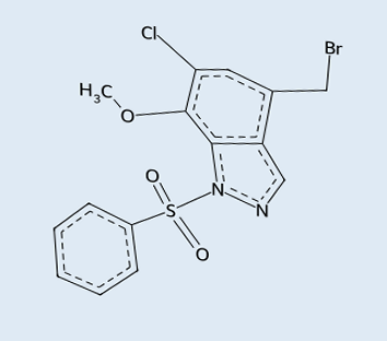 COc1c(Cl)cc(CBr)c2cnn(S(=O)(=O)c3ccccc3)c12